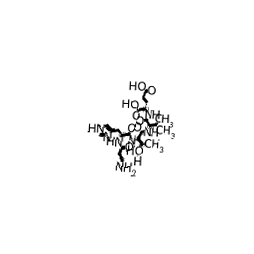 CC(C)[C@H](NC(=O)[C@@H](NC(=O)[C@H](Cc1c[nH]cn1)NC(=O)CCN)[C@@H](C)O)C(=O)N[C@@H](CCC(=O)O)C(=O)O